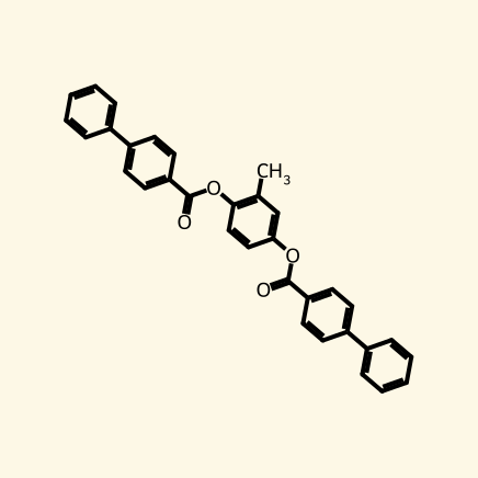 Cc1cc(OC(=O)c2ccc(-c3ccccc3)cc2)ccc1OC(=O)c1ccc(-c2ccccc2)cc1